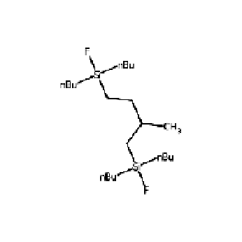 CCCC[Si](F)(CCCC)CCC(C)C[Si](F)(CCCC)CCCC